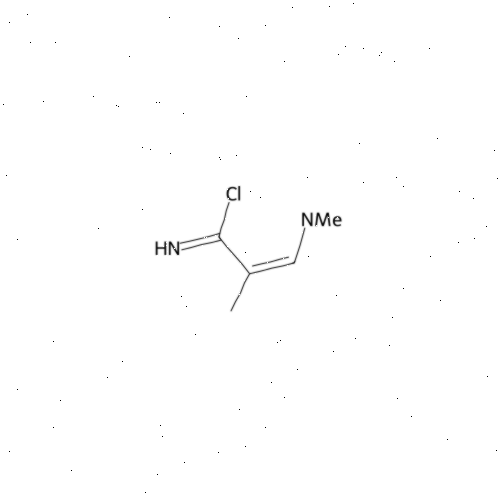 CN/C=C(/C)C(=N)Cl